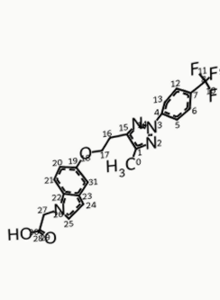 Cc1nn(-c2ccc(C(F)(F)F)cc2)nc1CCOc1ccc2c(ccn2CC(=O)O)c1